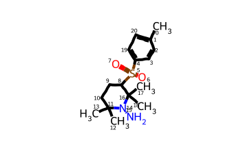 Cc1ccc(S(=O)(=O)C2CCC(C)(C)N(N)C2(C)C)cc1